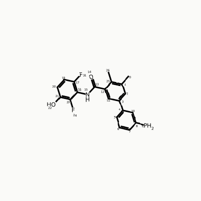 Cc1cc(-c2cccc(P)c2)cc(C(=O)Nc2c(F)ccc(O)c2F)c1C